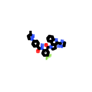 Cc1ccn(-c2ccc(C(=O)N[C@@H]3CCC(F)(F)C[C@@H]3C(=O)N3CCc4c(-c5ncc[nH]5)nc5ccccc5c43)cc2)n1